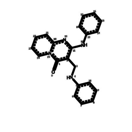 O=c1c(CNc2ccccc2)c(Nc2ccccc2)nc2ccccn12